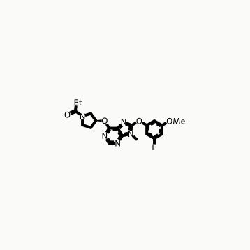 CCC(=O)N1CC[C@H](Oc2ncnc3c2nc(Oc2cc(F)cc(OC)c2)n3C)C1